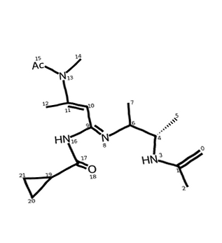 C=C(C)N[C@@H](C)C(C)/N=C(\C=C(/C)N(C)C(C)=O)NC(=O)C1CC1